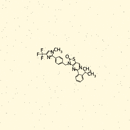 CC(C)c1ccccc1-c1ncc2sc(=O)n(Cc3ccc(-c4nc(C(F)(F)F)cn4C)cc3)c2n1